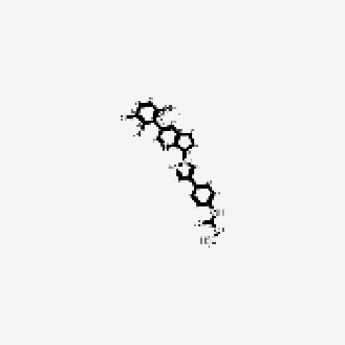 COC(=O)Nc1ccc(-c2cnn(C3CCc4cc(-c5c(N)ccc(Cl)c5F)cnc43)c2)cc1